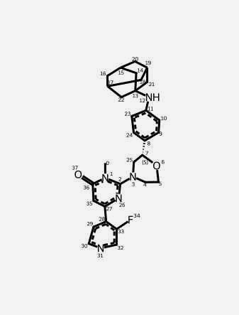 Cn1c(N2CCO[C@@H](c3ccc(NC45CC6CC(CC(C6)C4)C5)cc3)C2)nc(-c2ccncc2F)cc1=O